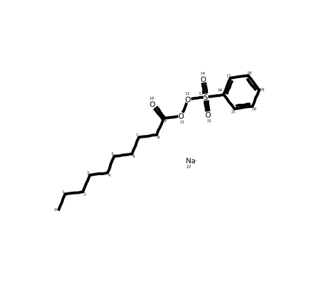 CCCCCCCCCC(=O)OOS(=O)(=O)c1ccccc1.[Na]